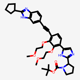 COCCOc1c(C#Cc2ccc3nc(C4CCCC4)[nH]c3c2)ccc(-c2cnc(C3CCCN3C(=O)OC(C)(C)C)[nH]2)c1OCCOC